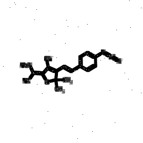 CN/C(C#N)=C1/OC(C)(C)C(/C=C/c2ccc(N=[N+]=[N-])cc2)=C1C#N